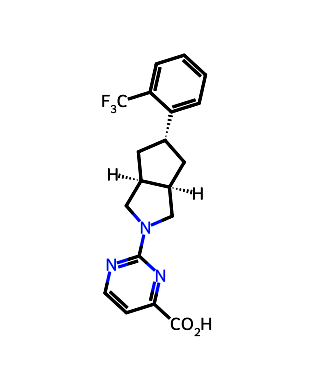 O=C(O)c1ccnc(N2C[C@H]3C[C@H](c4ccccc4C(F)(F)F)C[C@H]3C2)n1